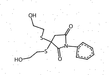 O=C1CC(SCCO)(SCCO)C(=O)N1c1ccccc1